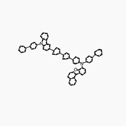 c1ccc(-c2ccc(N(c3ccc(-c4ccc(-c5ccc(-c6ccc7c(c6)c6ccccc6n7-c6ccc(-c7ccccc7)cc6)cc5)cc4)cc3)c3cccc4c3oc3ccc5ccccc5c34)cc2)cc1